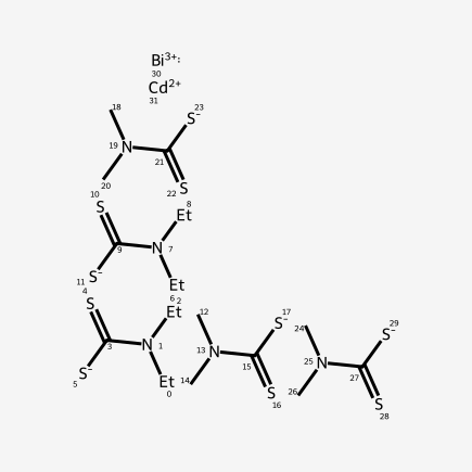 CCN(CC)C(=S)[S-].CCN(CC)C(=S)[S-].CN(C)C(=S)[S-].CN(C)C(=S)[S-].CN(C)C(=S)[S-].[Bi+3].[Cd+2]